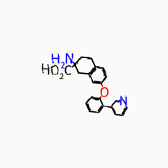 NC1(C(=O)O)CCc2ccc(Oc3ccccc3-c3cccnc3)cc2C1